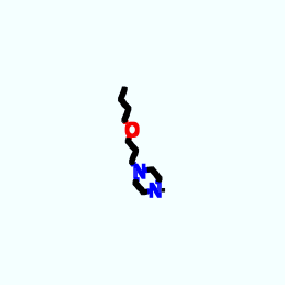 CCCCOCCCN1CC[N]CC1